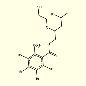 CC(O)CC(COC(=O)c1c(Br)c(Br)c(Br)c(Br)c1C(=O)O)OCCO